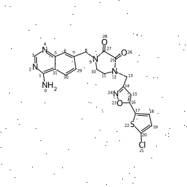 Nc1ncnc2cc(CN3CCN(Cc4cc(-c5ccc(Cl)s5)on4)C(=O)C3=O)ccc12